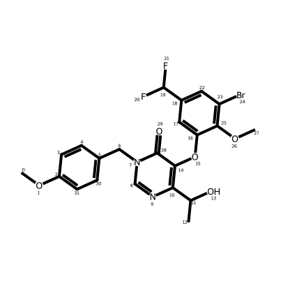 COc1ccc(Cn2cnc(C(C)O)c(Oc3cc(C(F)F)cc(Br)c3OC)c2=O)cc1